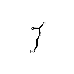 OCCOC(Cl)Cl